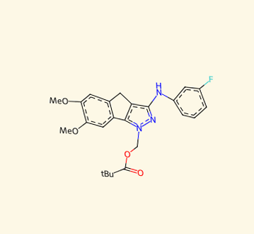 COc1cc2c(cc1OC)-c1c(c(Nc3cccc(F)c3)nn1COC(=O)C(C)(C)C)C2